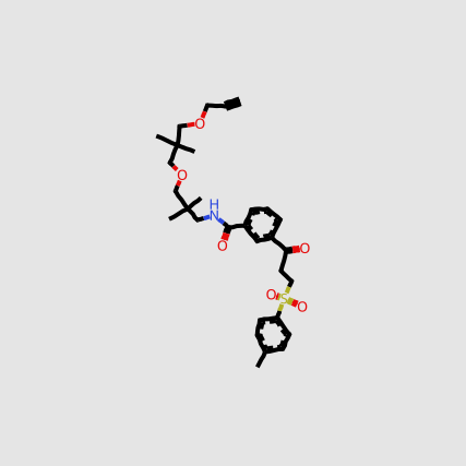 C#CCOCC(C)(C)COCC(C)(C)CNC(=O)c1cccc(C(=O)CCS(=O)(=O)c2ccc(C)cc2)c1